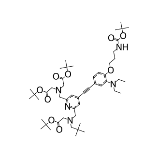 CCN(CC)c1cc(C#Cc2cc(CN(CC(=O)OC(C)(C)C)CC(=O)OC(C)(C)C)nc(CN(CC(=O)OC(C)(C)C)CC(C)(C)C)c2)ccc1OCCCNC(=O)OC(C)(C)C